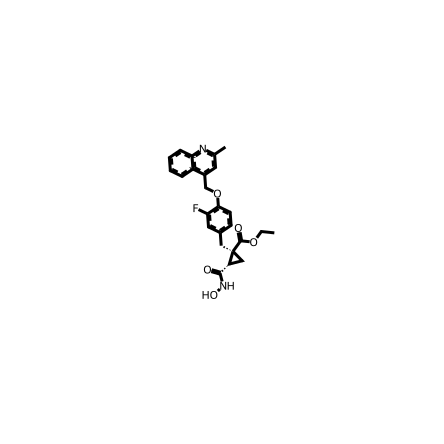 CCOC(=O)[C@@]1(Cc2ccc(OCc3cc(C)nc4ccccc34)c(F)c2)C[C@@H]1C(=O)NO